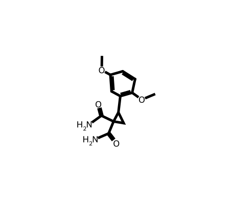 COc1ccc(OC)c(C2CC2(C(N)=O)C(N)=O)c1